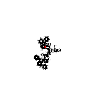 O=C1CC(O/N=C(\C(=O)NC2C(=O)N3C(C(=O)OC(c4ccccc4)c4ccccc4)=C(CSc4ccncc4)CS[C@@H]23)c2csc(NC(c3ccccc3)(c3ccccc3)c3ccccc3)n2)N1